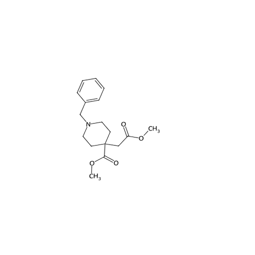 COC(=O)CC1(C(=O)OC)CCN(Cc2ccccc2)CC1